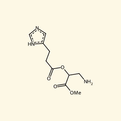 COC(=O)C(CN)OC(=O)CCc1cnc[nH]1